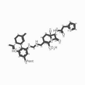 C=C(C)[C@@H]1CCC(C)=C[C@H]1c1c(O)cc(CCCCC)cc1OCNCC1=C(C(=O)O)N2C(=O)[C@@H](NC(=O)Cc3cccs3)[C@H]2CC1